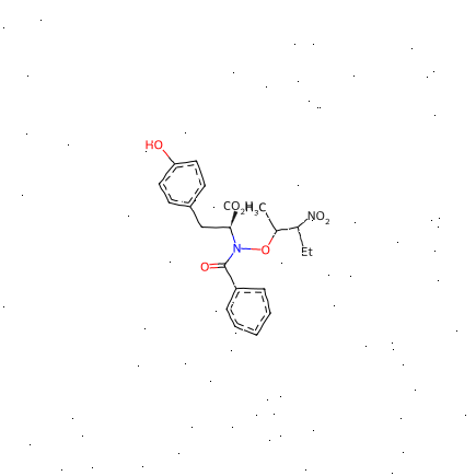 CCC(C(C)ON(C(=O)c1ccccc1)[C@@H](Cc1ccc(O)cc1)C(=O)O)[N+](=O)[O-]